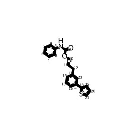 O=C(Nc1ccccc1)ON=CCc1cccc(-c2cccs2)c1